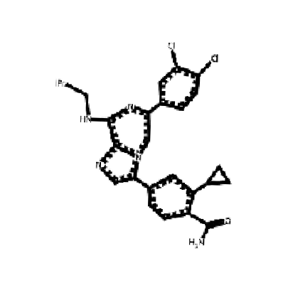 CC(C)CNc1nc(-c2ccc(Cl)c(Cl)c2)cn2c(-c3ccc(C(N)=O)c(C4CC4)c3)cnc12